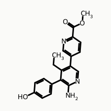 CCc1c(-c2ccc(C(=O)OC)nc2)cnc(N)c1-c1ccc(O)cc1